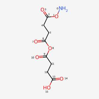 NOC(=O)CCC(=O)OC(=O)CCC(=O)O